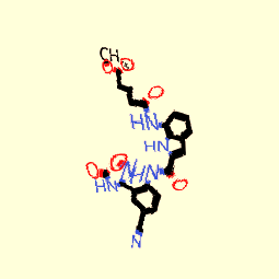 COC(=O)CCCC(=O)Nc1cccc2cc(C(=O)Nc3ccc(C#N)cc3-c3noc(=O)[nH]3)[nH]c12